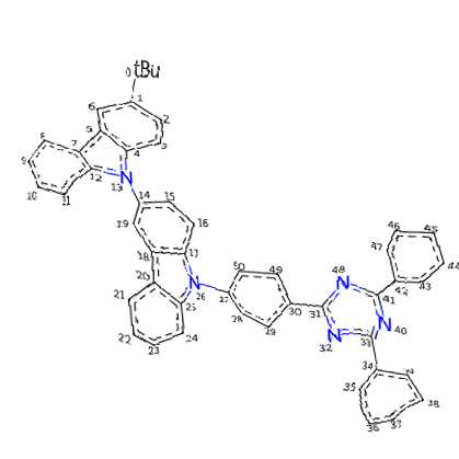 CC(C)(C)c1ccc2c(c1)c1ccccc1n2-c1ccc2c(c1)c1ccccc1n2-c1ccc(-c2nc(-c3ccccc3)nc(-c3ccccc3)n2)cc1